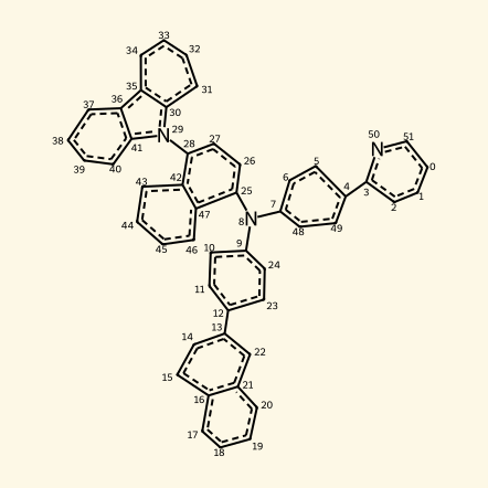 c1ccc(-c2ccc(N(c3ccc(-c4ccc5ccccc5c4)cc3)c3ccc(-n4c5ccccc5c5ccccc54)c4ccccc34)cc2)nc1